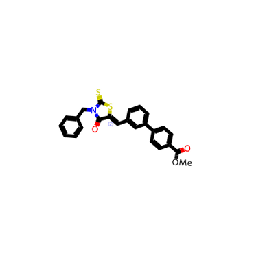 COC(=O)c1ccc(-c2cccc(/C=C3\SC(=S)N(Cc4ccccc4)C3=O)c2)cc1